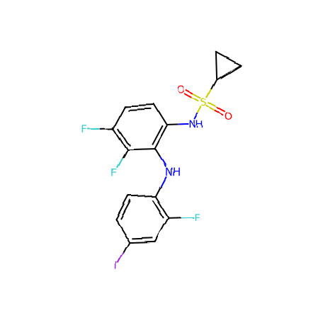 O=S(=O)(Nc1ccc(F)c(F)c1Nc1ccc(I)cc1F)C1CC1